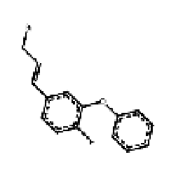 Fc1ccc(/C=C/CBr)cc1Oc1ccccc1